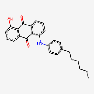 CCCCCCc1ccc(Nc2cccc3c2C(=O)c2cccc(O)c2C3=O)cc1